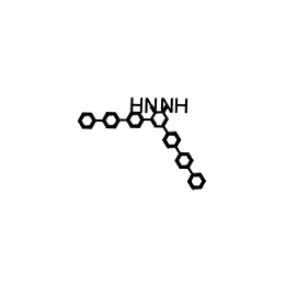 N=C1C=C(c2ccc(-c3ccc(-c4ccccc4)cc3)cc2)C=C(c2ccc(-c3ccc(-c4ccccc4)cc3)cc2)C1=N